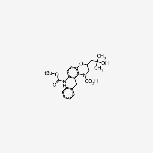 CC(C)(O)CC1CN(C(=O)O)c2c(ccc(NC(=O)OC(C)(C)C)c2Cc2ccccc2)O1